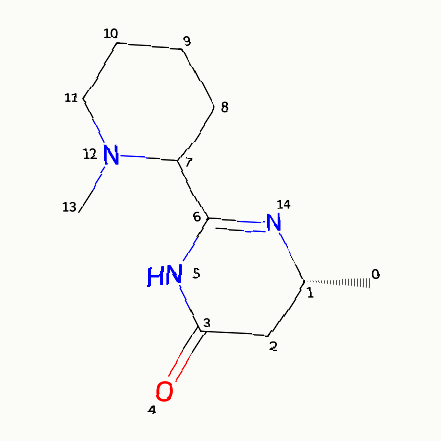 C[C@@H]1CC(=O)NC(C2CCCCN2C)=N1